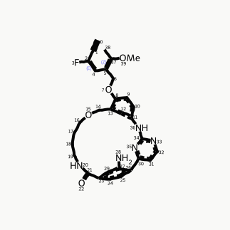 C#C/C(F)=C\C(COc1ccc2cc1COCCCCNC(=O)c1ccc(c(N)c1)-c1ccnc(n1)N2)=C(/C)OC